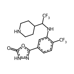 O=c1[nH]nc(-c2ccc(C(F)(F)F)c(NC(C3CCNCC3)C(F)(F)F)c2)o1